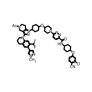 CC(=O)N1CCc2c(c(N3CCCc4cc(-c5cnn(C)c5)c(C(F)F)cc43)nn2C2CCC(OC3CCN(c4ccc(C(=O)NC5CCC(Oc6ccc(C#N)c(Cl)c6)CC5)nn4)CC3)CC2)C1